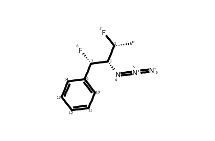 C[C@@H](F)[C@H](N=[N+]=[N-])[C@@H](F)c1ccccc1